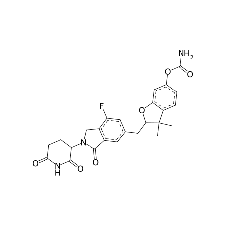 CC1(C)c2ccc(OC(N)=O)cc2OC1Cc1cc(F)c2c(c1)C(=O)N(C1CCC(=O)NC1=O)C2